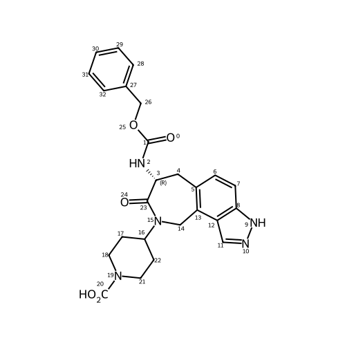 O=C(N[C@@H]1Cc2ccc3[nH]ncc3c2CN(C2CCN(C(=O)O)CC2)C1=O)OCc1ccccc1